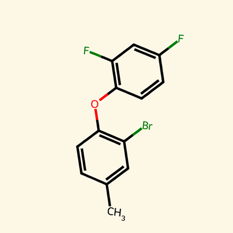 Cc1ccc(Oc2ccc(F)cc2F)c(Br)c1